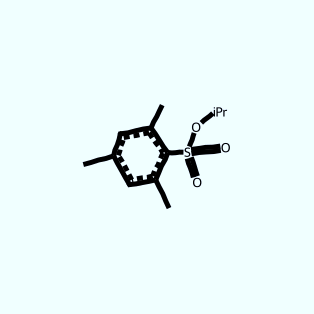 Cc1cc(C)c(S(=O)(=O)OC(C)C)c(C)c1